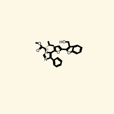 COC(=O)[C@H](C(C)C)n1cnc(-c2ccccc2)c1-c1ccc(-c2oc3ccccc3c2CO)o1